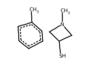 CN1CC(S)C1.Cc1ccccc1